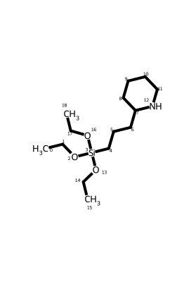 CCO[Si](CCCC1CCCCN1)(OCC)OCC